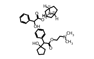 CN(C)CCOC(=O)C(c1ccccc1)C1(O)CCCC1.CN1[C@@H]2CC[C@H]1C[C@@H](OC(=O)C(O)c1ccccc1)C2